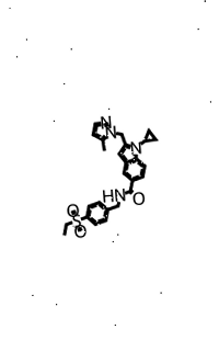 CCS(=O)(=O)c1ccc(CNC(=O)c2ccc3c(c2)cc(Cn2nccc2C)n3C2CC2)cc1